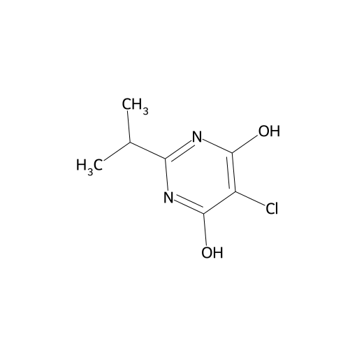 CC(C)c1nc(O)c(Cl)c(O)n1